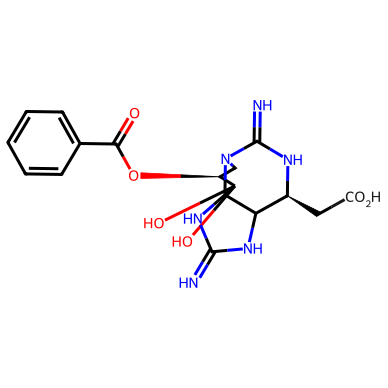 N=C1NC2[C@H](CC(=O)O)NC(=N)N3C[C@H](OC(=O)c4ccccc4)C(O)(O)C23N1